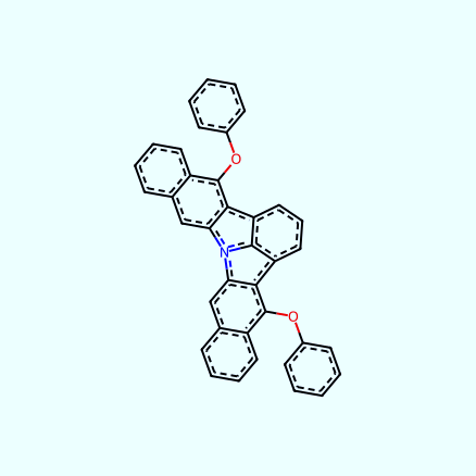 c1ccc(Oc2c3ccccc3cc3c2c2cccc4c5c(Oc6ccccc6)c6ccccc6cc5n3c24)cc1